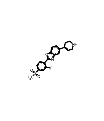 CS(=O)(=O)c1ccc(-c2nc3cc(C4=CCNCC4)ccc3o2)c(F)c1